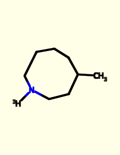 [3H]N1CCCCC(C)CC1